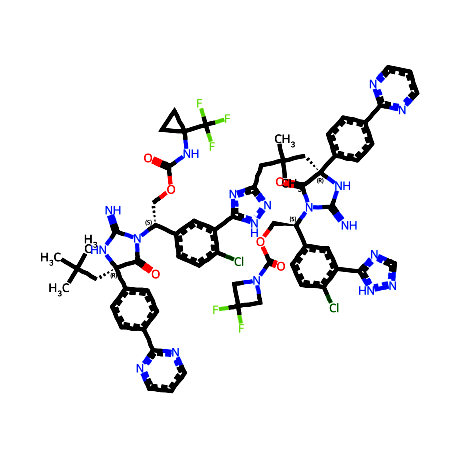 CC(C)(C)C[C@]1(c2ccc(-c3ncccn3)cc2)NC(=N)N([C@H](COC(=O)NC2(C(F)(F)F)CC2)c2ccc(Cl)c(-c3nc(CC(C)(C)C[C@]4(c5ccc(-c6ncccn6)cc5)NC(=N)N([C@H](COC(=O)N5CC(F)(F)C5)c5ccc(Cl)c(-c6ncn[nH]6)c5)C4=O)n[nH]3)c2)C1=O